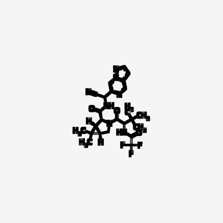 CC(C)(C)C(NC(=O)C(F)(F)F)C(=O)N1C[C@H]2[C@@H]([C@H]1C(=O)NC(C#N)c1cn3nccc3cn1)C2(C)C